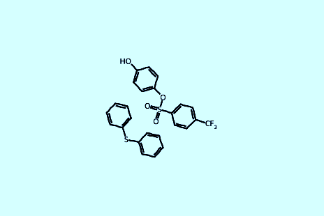 O=S(=O)(Oc1ccc(O)cc1)c1ccc(C(F)(F)F)cc1.c1ccc(Sc2ccccc2)cc1